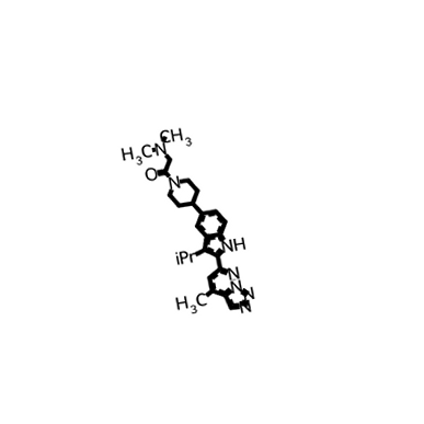 Cc1cc(-c2[nH]c3ccc(C4CCN(C(=O)CN(C)C)CC4)cc3c2C(C)C)nn2nncc12